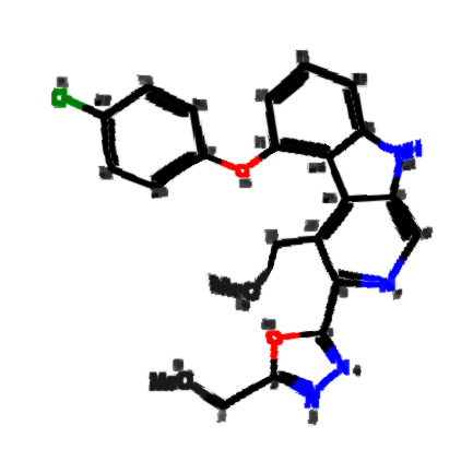 COCc1nnc(-c2ncc3[nH]c4cccc(Oc5ccc(Cl)cc5)c4c3c2COC)o1